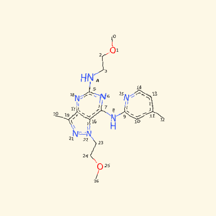 COCCNc1nc(Nc2cc(C)ccn2)c2c(n1)c(C)nn2CCOC